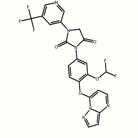 O=C1CN(c2cncc(C(F)(F)F)c2)C(=O)N1c1ccc(Oc2ccnc3ccnn23)c(OC(F)F)c1